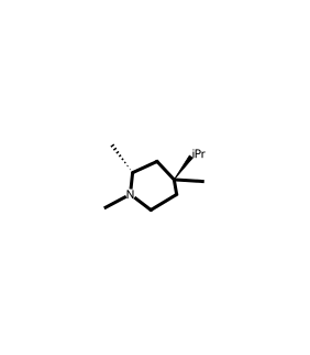 CC(C)[C@@]1(C)CCN(C)[C@H](C)C1